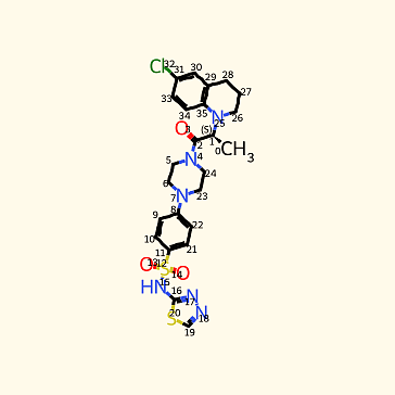 C[C@@H](C(=O)N1CCN(c2ccc(S(=O)(=O)Nc3nncs3)cc2)CC1)N1CCCc2cc(Cl)ccc21